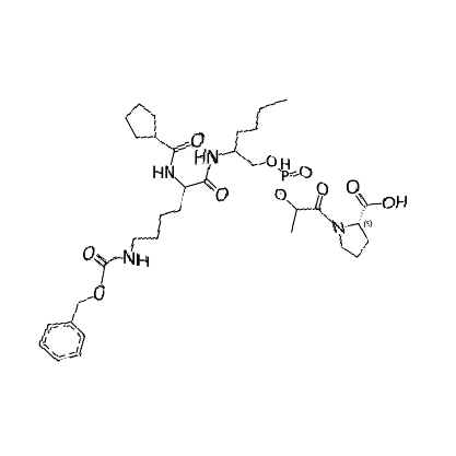 CCCCC(CO[PH](=O)OC(C)C(=O)N1CCC[C@H]1C(=O)O)NC(=O)C(CCCCNC(=O)OCc1ccccc1)NC(=O)C1CCCC1